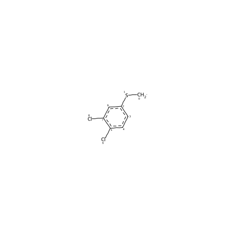 [CH2]Sc1ccc(Cl)c(Cl)c1